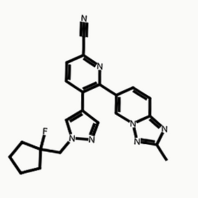 Cc1nc2ccc(-c3nc(C#N)ccc3-c3cnn(CC4(F)CCCC4)c3)cn2n1